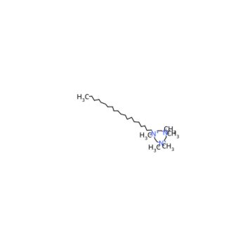 CCCCCCCCCCCCCCCCCCCC[N+]1(C)CC[N+](C)(C)CC[N+](C)(C)CC1